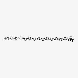 CC=C(C)C(=O)OCCOCCOCCOCCOCCOCCOCCOCCOCCOCCOCCOCCOCCOCCO